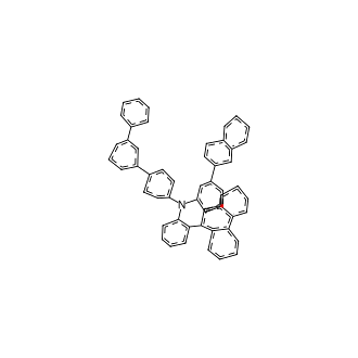 c1ccc(-c2cccc(-c3ccc(N(c4cccc(-c5ccc6ccccc6c5)c4)c4ccccc4-c4cc5ccccc5c5ccccc45)cc3)c2)cc1